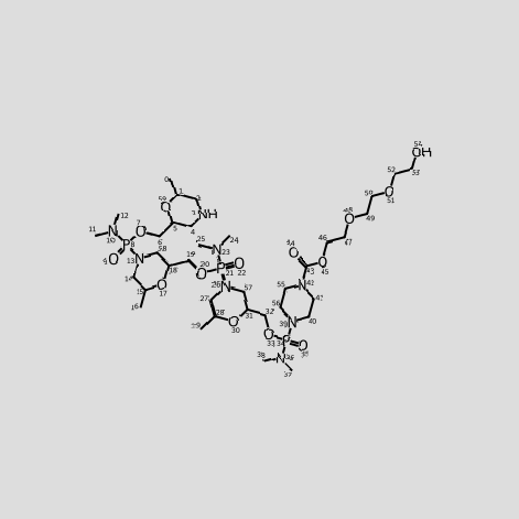 CC1CNCC(COP(=O)(N(C)C)N2CC(C)OC(COP(=O)(N(C)C)N3CC(C)OC(COP(=O)(N(C)C)N4CCN(C(=O)OCCOCCOCCO)CC4)C3)C2)O1